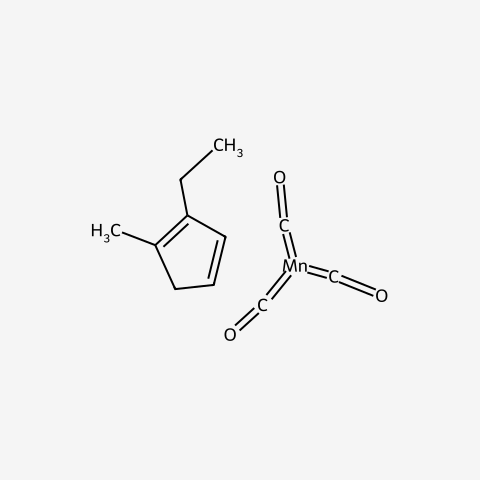 CCC1=C(C)CC=C1.O=[C]=[Mn](=[C]=O)=[C]=O